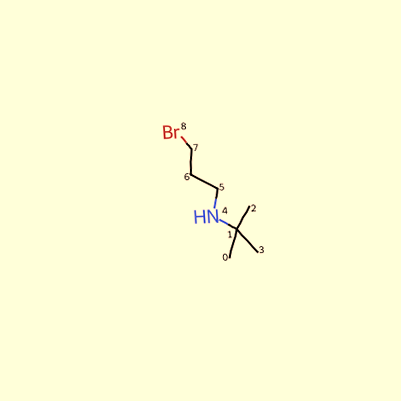 CC(C)(C)NCCCBr